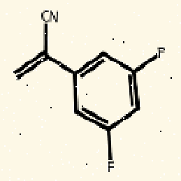 C=C(C#N)c1cc(F)cc(F)c1